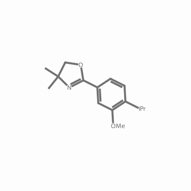 COc1cc(C2=NC(C)(C)CO2)ccc1C(C)C